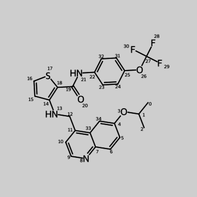 CC(C)Oc1ccc2nccc(CNc3ccsc3C(=O)Nc3ccc(OC(F)(F)F)cc3)c2c1